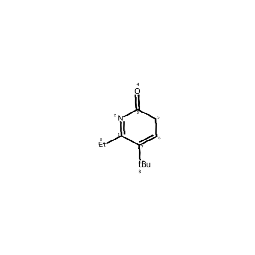 CCC1=NC(=O)CC=C1C(C)(C)C